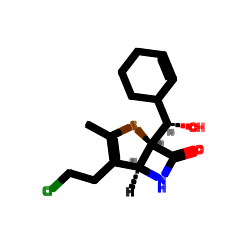 CC1=C(CCCl)[C@@H]2NC(=O)[C@]2([C@@H](O)C2C=CCCC2)S1